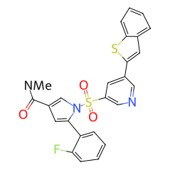 CNC(=O)c1cc(-c2ccccc2F)n(S(=O)(=O)c2cncc(-c3cc4ccccc4s3)c2)c1